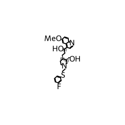 COc1ccc2nccc([C@H](O)CC[C@@H]3CCN(CCSc4cccc(F)c4)C[C@@H]3CO)c2c1